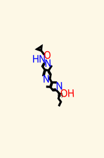 CCC[C@H](O)c1cc(C)c(-c2cc3cnc(NC(=O)C4CC4)cc3cn2)cn1